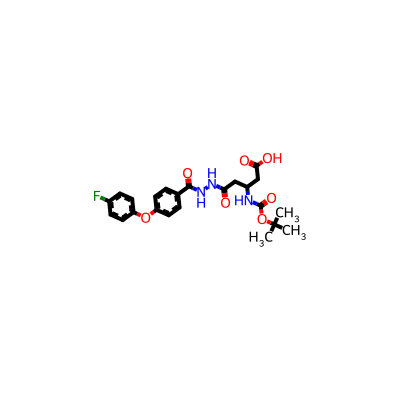 CC(C)(C)OC(=O)NC(CC(=O)O)CC(=O)NNC(=O)c1ccc(Oc2ccc(F)cc2)cc1